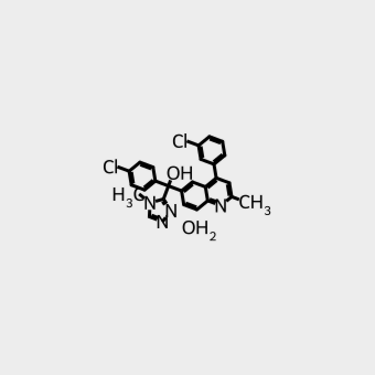 Cc1cc(-c2cccc(Cl)c2)c2cc(C(O)(c3ccc(Cl)cc3)c3nncn3C)ccc2n1.O